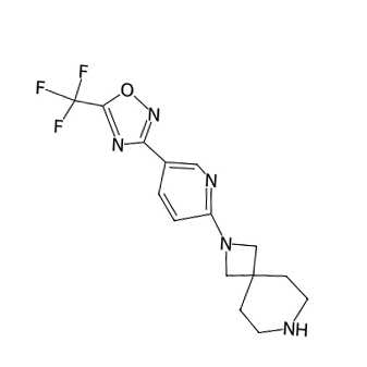 FC(F)(F)c1nc(-c2ccc(N3CC4(CCNCC4)C3)nc2)no1